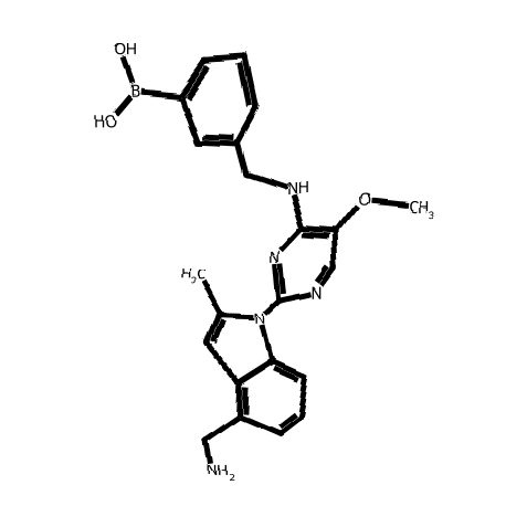 COc1cnc(-n2c(C)cc3c(CN)cccc32)nc1NCc1cccc(B(O)O)c1